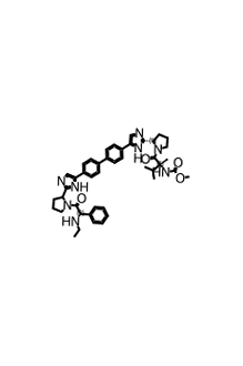 CCN[C@@H](C(=O)N1CCCC1c1ncc(-c2ccc(-c3ccc(-c4cnc([C@@H]5CCCN5C(=O)[C@](C)(NC(=O)OC)C(C)C)[nH]4)cc3)cc2)[nH]1)c1ccccc1